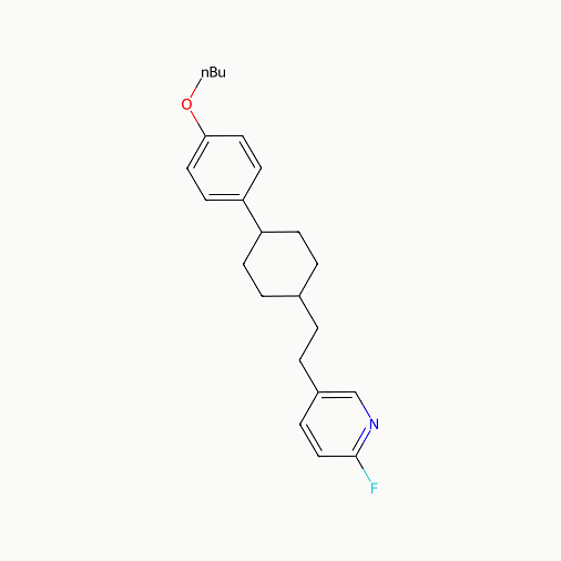 CCCCOc1ccc(C2CCC(CCc3ccc(F)nc3)CC2)cc1